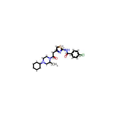 CC1CN(C2CCCCC2)CCN1C(=O)Cc1csc(NC(=O)c2ccc(Cl)cc2)n1